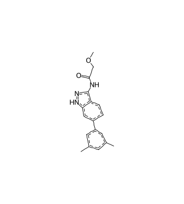 COCC(=O)Nc1n[nH]c2cc(-c3cc(C)cc(C)c3)ccc12